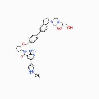 Cn1cc(-c2cnc(N)c(C(=O)N[C@H]3CCC[C@@H]3OCc3ccc(-c4ccc5c(c4)CC[C@@H]5N4CCN(CC(O)CO)CC4)cc3)c2)cn1